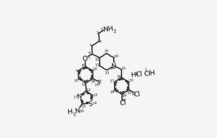 Cl.Cl.NCCCC(Oc1ccc(-c2csc(N)n2)c(F)c1)C1CCN(Cc2ccc(Cl)c(Cl)c2)CC1